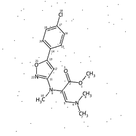 COC(=O)/C(=C\N(C)C)N(C)c1cc(-c2ccc(Cl)cc2)on1